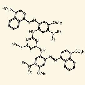 CCCSc1nc(Nc2cc(N(CC)CC)c(OC)cc2/N=N/c2ccc(S(=O)(=O)O)c3ccccc23)nc(Nc2cc(N(CC)CC)c(OC)cc2/N=N/c2ccc(S(=O)(=O)O)c3ccccc23)n1